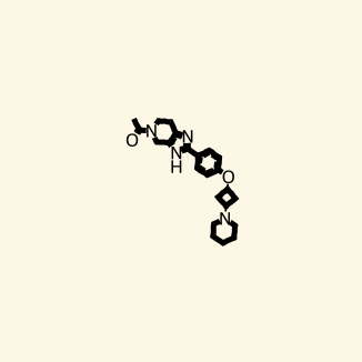 CC(=O)N1CCc2nc(-c3ccc(O[C@H]4C[C@@H](N5CCCCC5)C4)cc3)[nH]c2C1